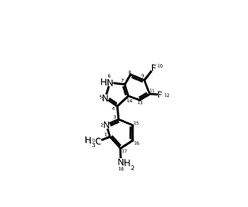 Cc1nc(-c2n[nH]c3cc(F)c(F)cc23)ccc1N